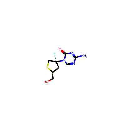 Nc1ncn([C@]2(F)CS[C@H](CO)C2)c(=O)n1